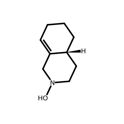 ON1CC[C@H]2CCCC=C2C1